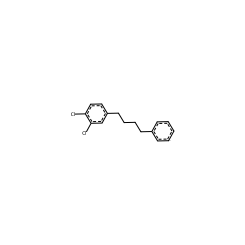 Clc1ccc(CCCCc2c[c]ccc2)cc1Cl